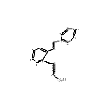 CCOC(=O)/C=C/c1ccccc1/C=C/c1ccccc1